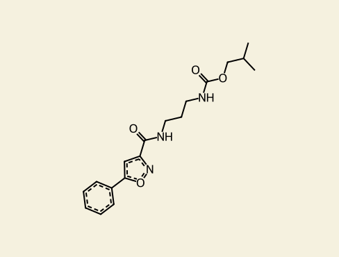 CC(C)COC(=O)NCCCNC(=O)c1cc(-c2ccccc2)on1